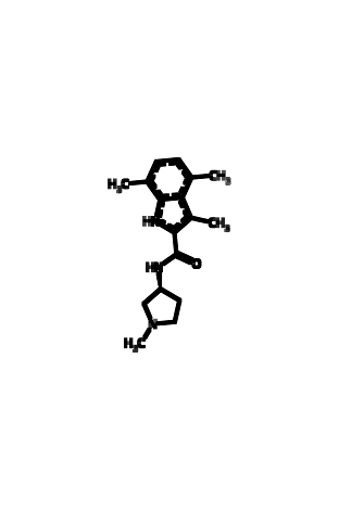 Cc1ccc(C)c2c(C)c(C(=O)N[C@H]3CCN(C)C3)[nH]c12